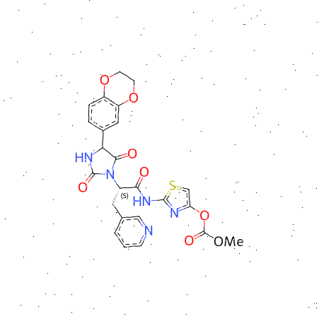 COC(=O)Oc1csc(NC(=O)[C@H](Cc2cccnc2)N2C(=O)NC(c3ccc4c(c3)OCCO4)C2=O)n1